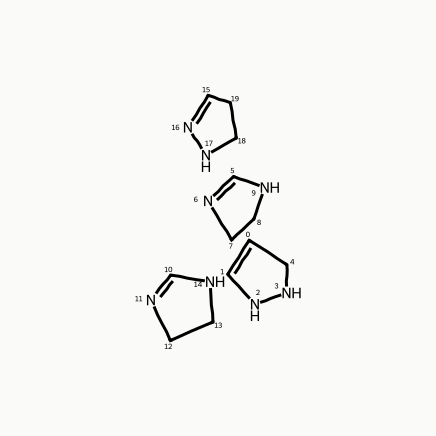 C1=CNNC1.C1=NCCN1.C1=NCCN1.C1=NNCC1